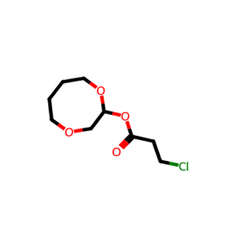 O=C(CCCl)OC1COCCCCO1